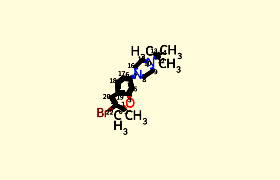 CC1(C)Oc2cc(N3CCN(C(C)(C)C)CC3)ccc2C=C1Br